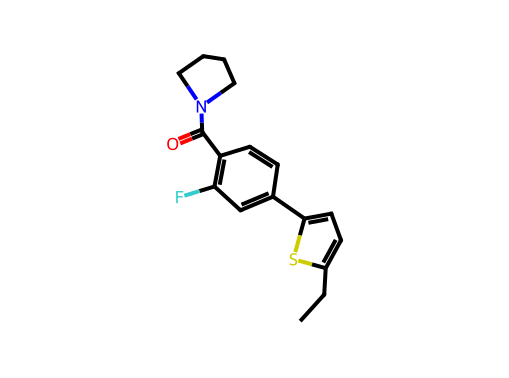 CCc1ccc(-c2ccc(C(=O)N3CCCC3)c(F)c2)s1